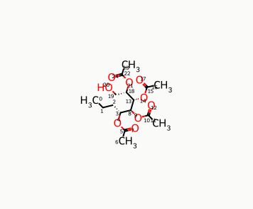 CCC[C@@H](OC(C)=O)[C@H](OC(C)=O)[C@@H](OC(C)=O)[C@H](CO)OC(C)=O